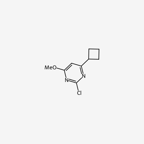 COc1cc(C2CCC2)nc(Cl)n1